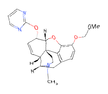 COCOc1ccc2c3c1O[C@H]1[C@@H](Oc4ncccn4)C=C[C@H]4[C@@H](C2)N(C)CC[C@@]341